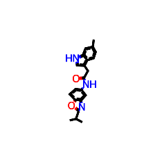 Cc1ccc2c(CC(=O)Nc3ccc4oc(C(C)C)nc4c3)c[nH]c2c1